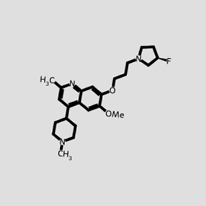 COc1cc2c(C3CCN(C)CC3)cc(C)nc2cc1OCCCN1CC[C@@H](F)C1